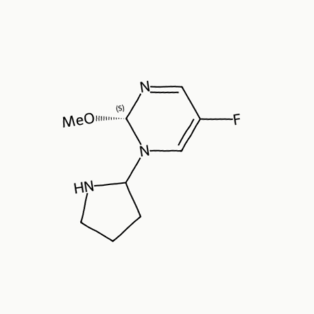 CO[C@@H]1N=CC(F)=CN1C1CCCN1